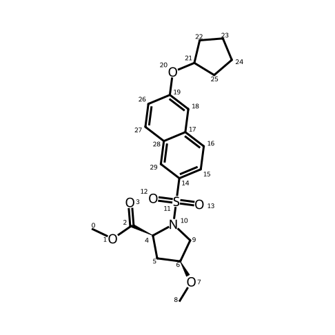 COC(=O)[C@@H]1C[C@H](OC)CN1S(=O)(=O)c1ccc2cc(OC3CCCC3)ccc2c1